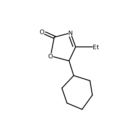 CCC1=NC(=O)OC1C1CCCCC1